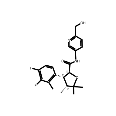 Cc1c([C@@H]2[C@@H](C(=O)Nc3ccc(CO)nc3)OC(C)(C)[C@@H]2C)ccc(F)c1F